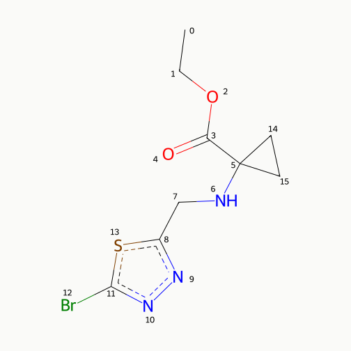 CCOC(=O)C1(NCc2nnc(Br)s2)CC1